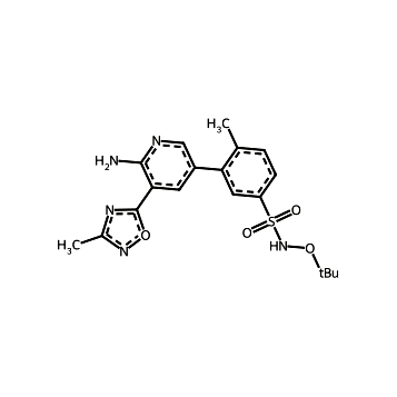 Cc1noc(-c2cc(-c3cc(S(=O)(=O)NOC(C)(C)C)ccc3C)cnc2N)n1